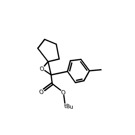 Cc1ccc(C2(C(=O)OC(C)(C)C)OC23CCCC3)cc1